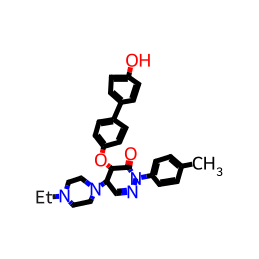 CCN1CCN(C2C=NN(c3ccc(C)cc3)C(=O)C2Oc2ccc(-c3ccc(O)cc3)cc2)CC1